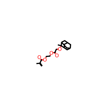 C=C(C)C(=O)OCCOC(=O)COC1(C)C2CC3CC(C2)CC1C3